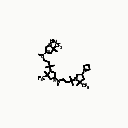 CN(CCC(C)(C)N1C[C@@H](N(C)CCC(C)(C)N2CC(N3CCC3)C[C@@]2(C)C(F)(F)F)C[C@@]1(C)C(F)(F)F)[C@@H]1CN(C(C)(C)C)C(C)(C(F)(F)F)C1